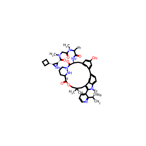 CCn1c(-c2cccnc2[C@H](C)OC)c2c3cc(ccc31)-c1cc(O)cc(c1)C[C@H](NC(=O)C(C(C)C)N(C)C(=O)CN(C)C(=O)[C@@H]1N[C@@H]1C1CCC1)C(=O)N1CCC[C@H](N1)C(=O)OCC(C)(C)C2